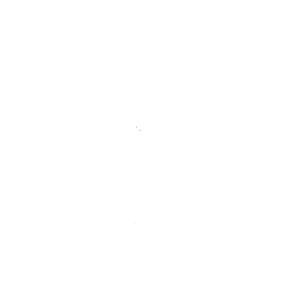 O=c1cc(Cl)sn1-c1ccc(Cl)cc1